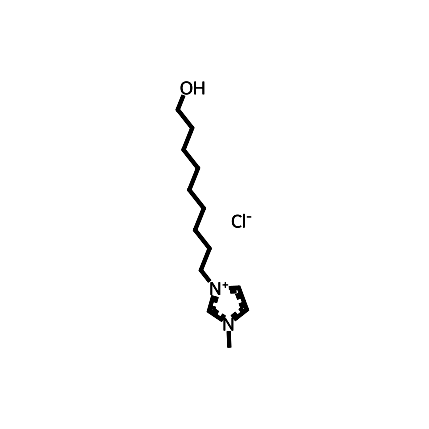 Cn1cc[n+](CCCCCCCCCO)c1.[Cl-]